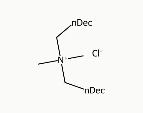 CCCCCCCCCCC[N+](C)(C)CCCCCCCCCCC.[Cl-]